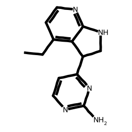 CCc1ccnc2c1C(c1ccnc(N)n1)CN2